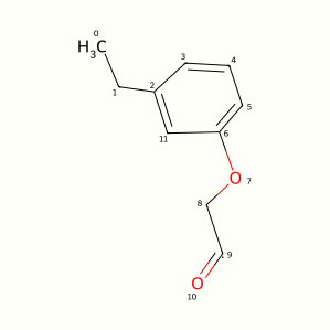 CCc1cccc(OC[C]=O)c1